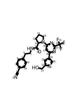 N#Cc1ccc(CCNC(=O)C2CCCN2c2cc(-c3csc(CO)c3)nc(C(F)(F)F)n2)cc1